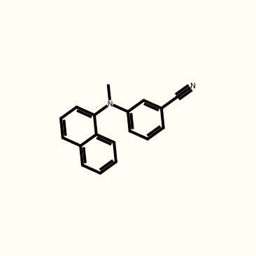 CN(c1cccc(C#N)c1)c1cccc2ccccc12